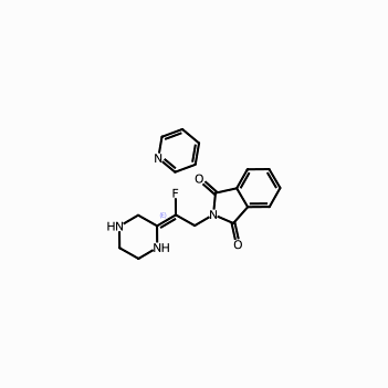 O=C1c2ccccc2C(=O)N1C/C(F)=C1/CNCCN1.c1ccncc1